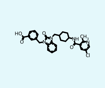 Cc1ncc(Cl)cc1C(=O)NC1CCC(Cn2c(=O)n(Cc3cccc(C(=O)O)c3)c3ccccc32)CC1